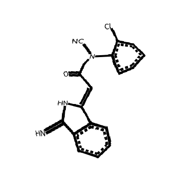 N#CN(C(=O)C=C1NC(=N)c2ccccc21)c1ccccc1Cl